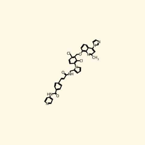 Cc1cc(-n2ccnc2)c2cccc(OCc3c(Cl)ccc(-n4cccc4CNC(=O)C=Cc4ccc(C(=O)Nc5ccncc5)cc4)c3Cl)c2n1